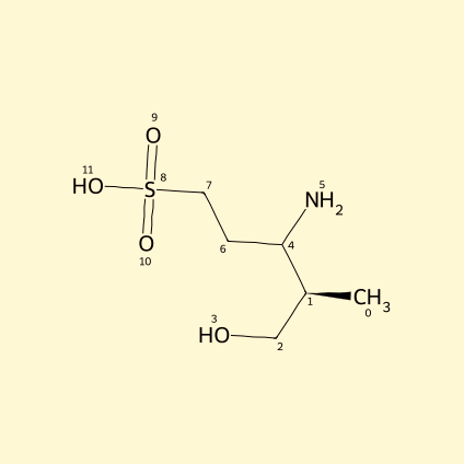 C[C@@H](CO)C(N)CCS(=O)(=O)O